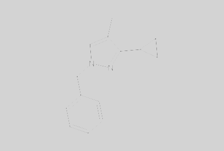 Cc1cn(Cc2ccccc2)nc1C1CC1